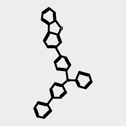 c1ccc(-c2ccc(N(c3ccccc3)c3ccc(-c4ccc5c(c4)oc4ccccc45)cc3)cc2)cc1